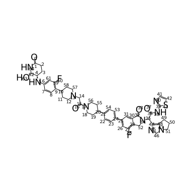 O=C1CC[C@@H](Nc2ccc(C3CCN(CC(=O)N4CCC(c5ccc(-c6cc(F)c7c(c6)C(=O)N(C(C(=O)Nc6nccs6)c6ncn8c6CCC8)C7)cc5)CC4)CC3)c(F)c2)C(O)N1